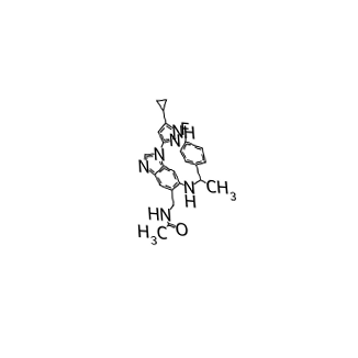 CC(=O)NCc1cc2ncn(-c3cc(C4CC4)[nH]n3)c2cc1NC(C)c1ccc(F)cc1